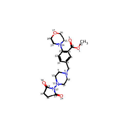 COC(=O)c1cc(CN2CCN(N3C(=O)CCC3=O)CC2)ccc1N1CCOCC1